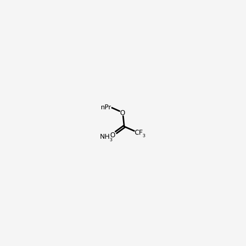 CCCOC(=O)C(F)(F)F.N